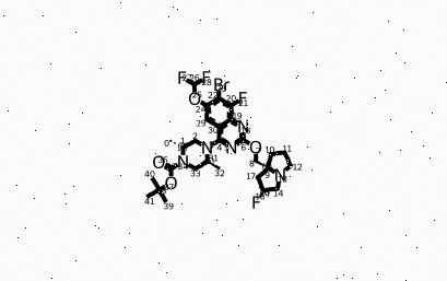 C[C@@H]1CN(c2nc(OC[C@@]34CCCN3C[C@H](F)C4)nc3c(F)c(Br)c(OC(F)F)cc23)[C@@H](C)CN1C(=O)OC(C)(C)C